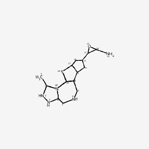 CC1NNC2CNCC3C4CC(C5OC5N)CC4SC3N12